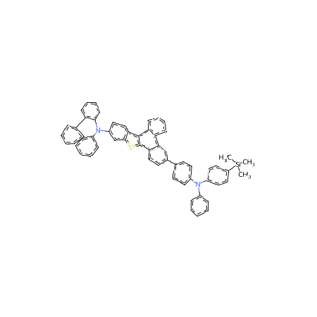 C[Si](C)(C)c1ccc(N(c2ccccc2)c2ccc(-c3ccc4c(c3)c3ccccc3c3c5ccc(N(c6ccccc6)c6ccccc6-c6ccccc6)cc5sc43)cc2)cc1